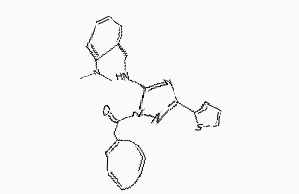 CN(C)c1ccccc1CNc1nc(-c2cccs2)nn1C(=O)c1ccccc1